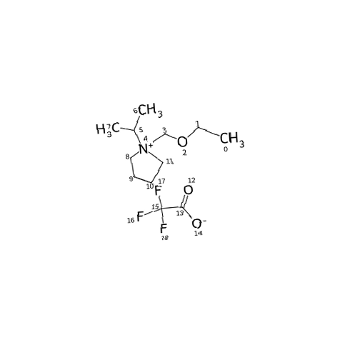 CCOC[N+]1(C(C)C)CCCC1.O=C([O-])C(F)(F)F